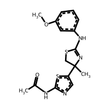 COc1cccc(NC2=NC(C)(c3cnc(NC(C)=O)s3)CS2)c1